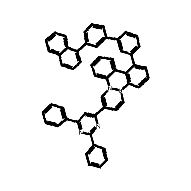 C1=CC(c2cc(-c3ccccc3)nc(-c3ccccc3)n2)=CN2B1c1cccc(-c3cccc(-c4cccc(-c5cccc6ccccc56)c4)c3)c1-c1ccccc12